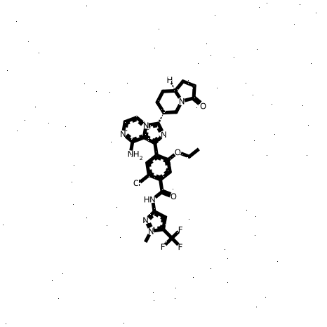 CCOc1cc(C(=O)Nc2cc(C(F)(F)F)n(C)n2)c(Cl)cc1-c1nc([C@@H]2CC[C@H]3CCC(=O)N3C2)n2ccnc(N)c12